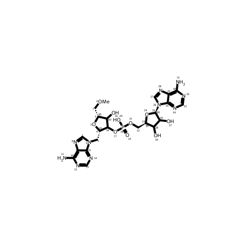 COC[C@H]1O[C@@H](Cn2cnc3c(N)ncnc32)C(OP(=O)(O)OC[C@H]2O[C@@H](n3cnc4c(N)ncnc43)C(O)C2O)C1O